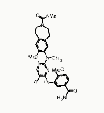 CNC(=O)N1CCc2cc(OC)c(N(C)c3ncc(Cl)c(Nc4cc(C(N)=O)ccc4OC)n3)cc2CC1